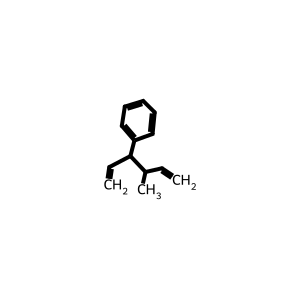 C=CC(C)C(C=C)c1ccccc1